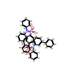 S=P1(c2ccc(P3(=S)Oc4ccccc4N3c3cccc(-c4ccccc4)c3)cc2)Oc2ccccc2N1c1cccc(-c2ccccc2)c1